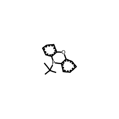 CC(C)(C)P1c2ccccc2Oc2ccccc21